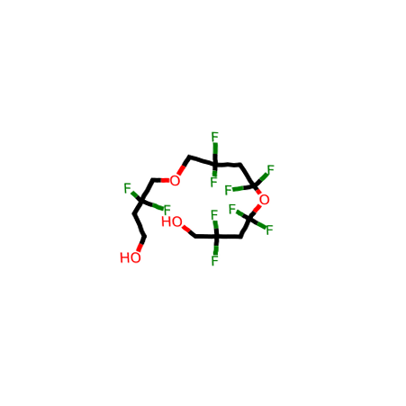 OCCC(F)(F)COCC(F)(F)CC(F)(F)OC(F)(F)CC(F)(F)CO